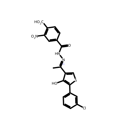 C/C(=N\NC(=O)c1ccc(C(=O)O)c([N+](=O)[O-])c1)c1csc(-c2cccc(Cl)c2)c1O